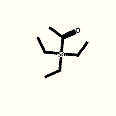 C[CH2][Sn]([CH2]C)([CH2]C)[C](C)=O